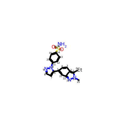 CCc1c2ccc(-c3ccnn3-c3ccc(S(N)(=O)=O)cc3)cc2nn1C